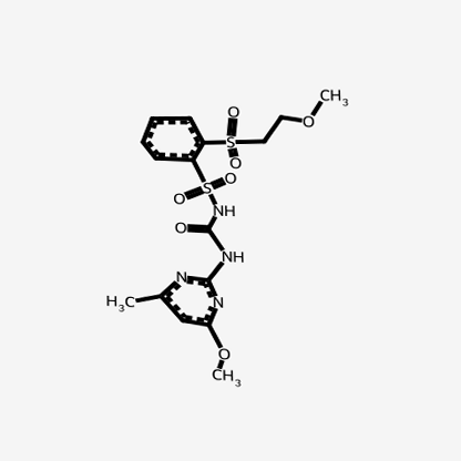 COCCS(=O)(=O)c1ccccc1S(=O)(=O)NC(=O)Nc1nc(C)cc(OC)n1